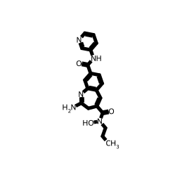 CCCN(O)C(=O)C1=Cc2ccc(C(=O)Nc3cccnc3)cc2N=C(N)C1